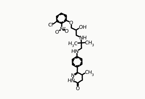 CC1CC(=O)NN=C1c1ccc(NCC(C)(C)NCC(O)COc2cccc(Cl)c2[N+](=O)[O-])cc1